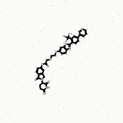 O=C1CCC(N2Cc3cc(OC(=O)COCCOc4ccc5nc(-c6ccc(-c7cccnc7)cc6C(F)(F)F)sc5c4)ccc3C2=O)C(=O)N1